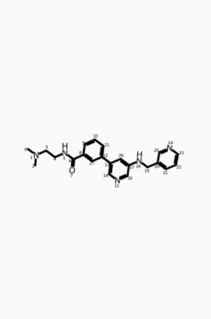 CN(C)CCNC(=O)c1cccc(-c2cncc(NCc3cccnc3)c2)c1